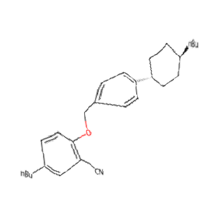 CCCCc1ccc(OCc2ccc([C@H]3CC[C@H](CCCC)CC3)cc2)c(C#N)c1